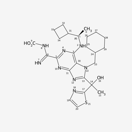 C[C@@H](Nc1nc(C(=N)NC(=O)O)nc2nc(C(C)(O)c3nccs3)n(CC3CCCCC3)c12)C1CCC1